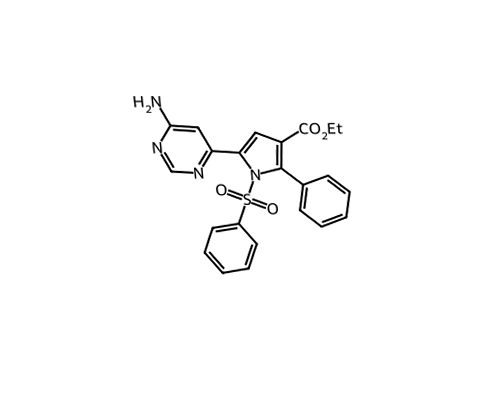 CCOC(=O)c1cc(-c2cc(N)ncn2)n(S(=O)(=O)c2ccccc2)c1-c1ccccc1